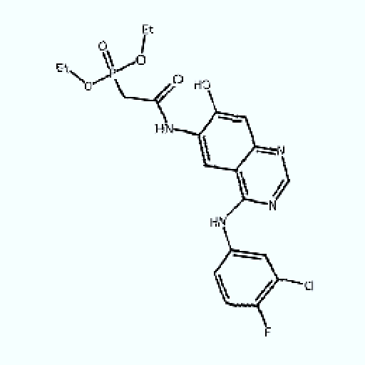 CCOP(=O)(CC(=O)Nc1cc2c(Nc3ccc(F)c(Cl)c3)ncnc2cc1O)OCC